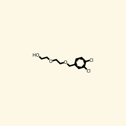 OCCOCCOCc1ccc(Cl)c(Cl)c1